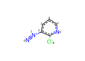 N#[N+]c1cccnc1.[Cl-]